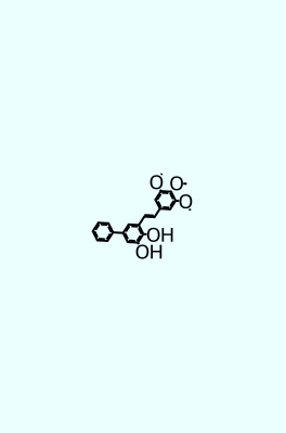 COc1cc(C=Cc2cc(-c3ccccc3)cc(O)c2O)cc(OC)c1OC